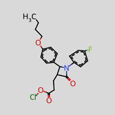 CCCCOc1ccc(C2C(CCC(=O)OCl)C(=O)N2c2ccc(F)cc2)cc1